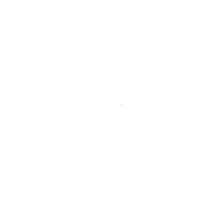 CC(CCc1ccccc1Cl)NCCO